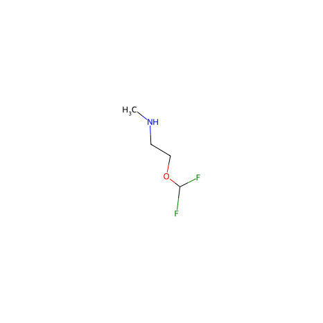 CNCCOC(F)F